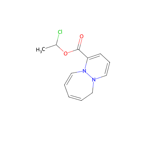 CC(Cl)OC(=O)C1=CC=CN2CC=CC=CN12